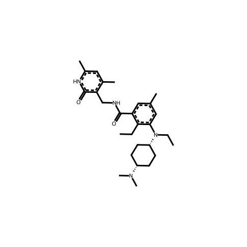 CCc1c(C(=O)NCc2c(C)cc(C)[nH]c2=O)cc(C)cc1N(CC)[C@H]1CC[C@@H](N(C)C)CC1